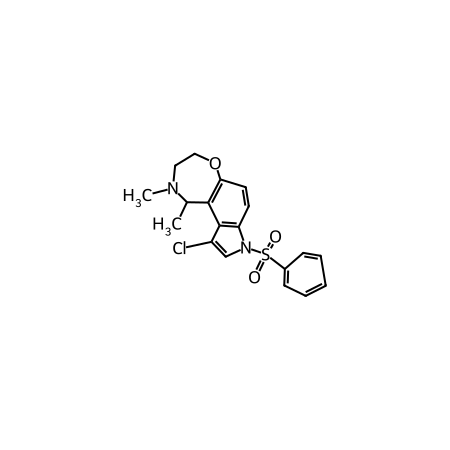 CC1c2c(ccc3c2c(Cl)cn3S(=O)(=O)c2ccccc2)OCCN1C